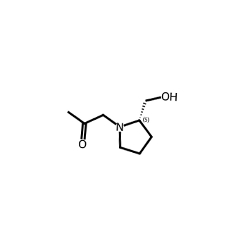 CC(=O)CN1CCC[C@H]1CO